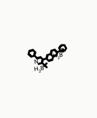 BC(C)(C)c1cnc(-c2ccccc2)cc1-c1ccc2cc(C3(B)CC4CCC3CC4)ccc2c1